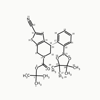 CC(C)(C)OC(=O)N1Cc2sc(C#N)cc2[C@H](c2ccccc2B2OC(C)(C)C(C)(C)O2)C1